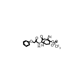 CC(=O)C1=C(OS(=O)(=O)C(F)(F)F)CC[C@@H]2[C@H](NC(=O)COc3ccccc3)C(=O)N12